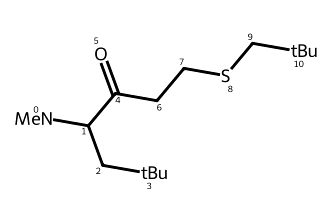 CNC(CC(C)(C)C)C(=O)CCSCC(C)(C)C